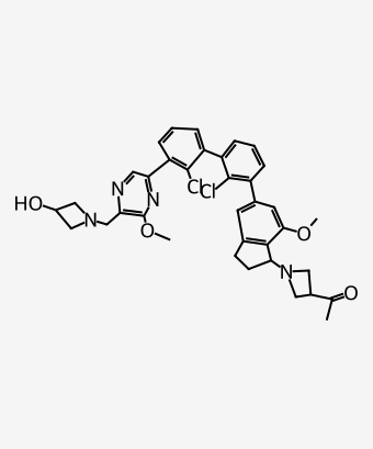 COc1cc(-c2cccc(-c3cccc(-c4cnc(CN5CC(O)C5)c(OC)n4)c3Cl)c2Cl)cc2c1C(N1CC(C(C)=O)C1)CC2